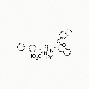 CC(C)CN(CC(Cc1ccccc1)C(=O)Oc1ccc2c(c1)CCC2)C(=O)N[C@@H](Cc1ccc(-c2ccccc2)cc1)C(=O)O